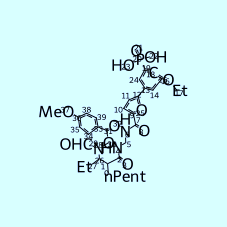 CCCCCC(C(=O)NCNC(=O)c1ccc(-c2cc(OCC)cc(P(=O)(O)O)c2)o1)C(CC)N(C=O)OC(=O)c1ccc(OC)cc1